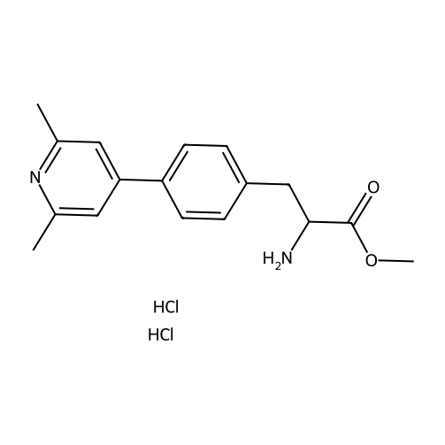 COC(=O)C(N)Cc1ccc(-c2cc(C)nc(C)c2)cc1.Cl.Cl